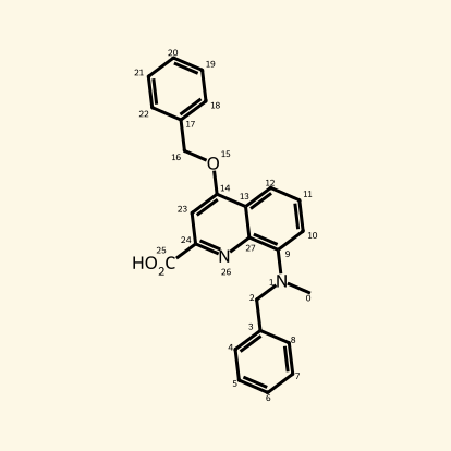 CN(Cc1ccccc1)c1cccc2c(OCc3ccccc3)cc(C(=O)O)nc12